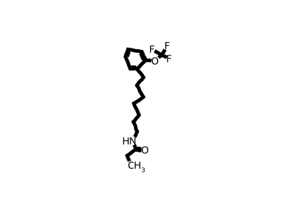 CCC(=O)NCCCCCCCc1ccccc1OC(F)(F)F